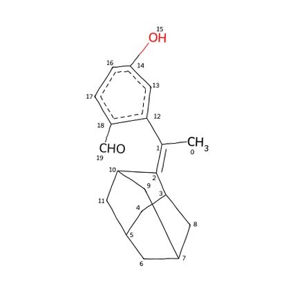 CC(=C1C2CC3CC(C2)CC1C3)c1cc(O)ccc1C=O